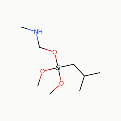 CNCO[Si](CC(C)C)(OC)OC